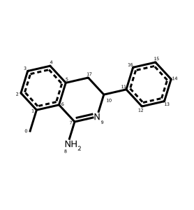 Cc1cccc2c1C(N)=NC(c1ccccc1)C2